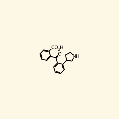 O=C(O)c1ccccc1C(=O)c1ccccc1C1CCNC1